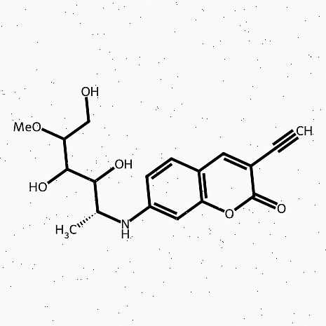 C#Cc1cc2ccc(N[C@H](C)C(O)C(O)C(CO)OC)cc2oc1=O